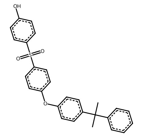 CC(C)(c1ccccc1)c1ccc(Oc2ccc(S(=O)(=O)c3ccc(O)cc3)cc2)cc1